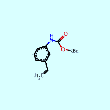 C=Cc1c[c]cc(NC(=O)OC(C)(C)C)c1